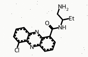 CCC(CN)NC(=O)c1cccc2nc3c(Cl)cccc3nc12